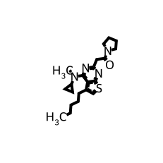 CCCCCc1csc2nc(CC(=O)N3CCCC3)nc(N(C)C3CC3)c12